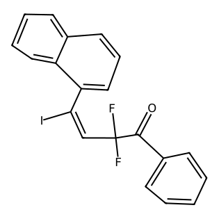 O=C(c1ccccc1)C(F)(F)/C=C(/I)c1cccc2ccccc12